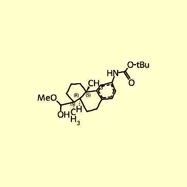 COC(O)[C@@]1(C)CCC[C@]2(C)c3cc(NC(=O)OC(C)(C)C)ccc3CC[C@H]21